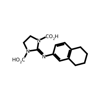 O=C(O)N1CCN(C(=O)O)C1=Nc1ccc2c(c1)CCCC2